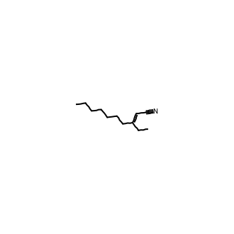 CCCCCCCC(=CC#N)CC